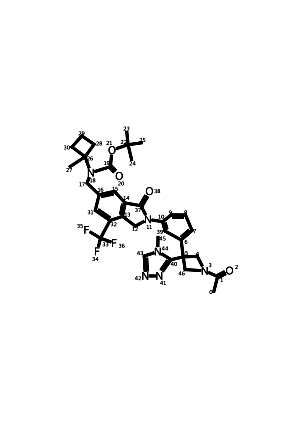 CC(=O)N1CC(c2cccc(N3Cc4c(cc(CN(C(=O)OC(C)(C)C)C5(C)CCC5)cc4C(F)(F)F)C3=O)c2)(c2nncn2C)C1